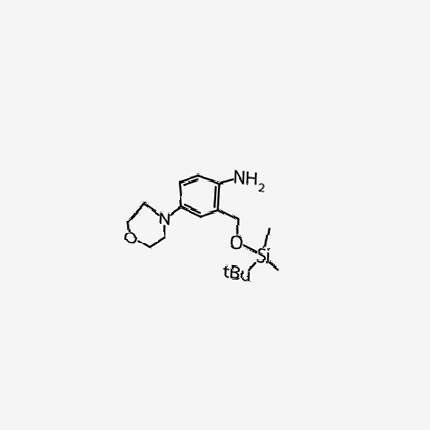 CC(C)(C)[Si](C)(C)OCc1cc(N2CCOCC2)ccc1N